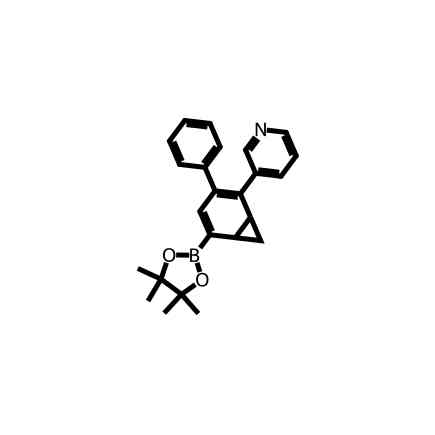 CC1(C)OB(C2=CC(c3ccccc3)=C(c3cccnc3)C3CC23)OC1(C)C